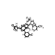 C[C@H]1CC[C@H](Cn2c(N3CCC[C@H]3C(F)(F)F)nc3nc(-c4noc(=O)[nH]4)nc(-c4cccc(Cl)c4)c32)CC1